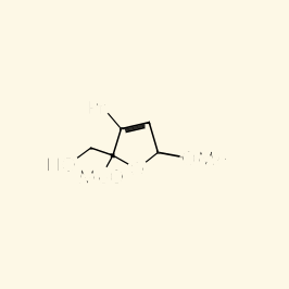 COC1C=C(C(C)C)C(CO)(OC)O1